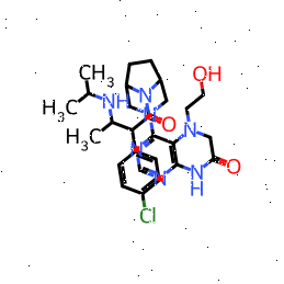 CC(C)NC(C)C(C(=O)N1C2CCC1CN(c1ncnc3c1N(CCO)CC(=O)N3)C2)c1ccc(Cl)cc1